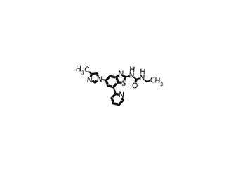 CCNC(=O)Nc1nc2cc(-n3cnc(C)c3)cc(-c3ccccn3)c2s1